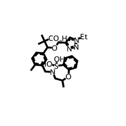 CCn1cc(COC(c2ccc(C)c(CN3CC(C)Oc4ccccc4S3(O)O)c2)C(C)(C)C(=O)O)nn1